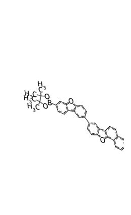 CC1(C)OB(c2ccc3c(c2)oc2ccc(-c4ccc5oc6c7ccccc7ccc6c5c4)cc23)OC1(C)C